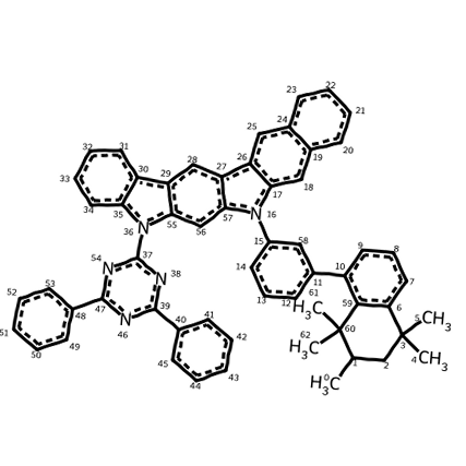 CC1CC(C)(C)c2cccc(-c3cccc(-n4c5cc6ccccc6cc5c5cc6c7ccccc7n(-c7nc(-c8ccccc8)nc(-c8ccccc8)n7)c6cc54)c3)c2C1(C)C